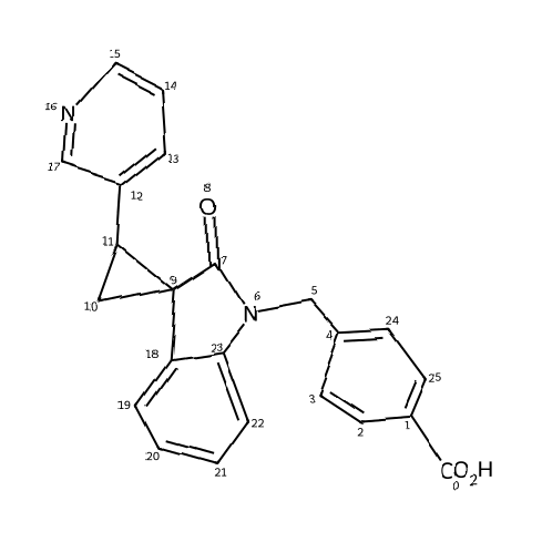 O=C(O)c1ccc(CN2C(=O)C3(CC3c3cccnc3)c3ccccc32)cc1